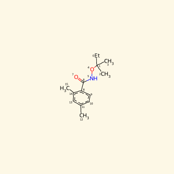 CCC(C)(C)ONC(=O)c1ccc(C)cc1C